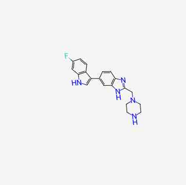 Fc1ccc2c(-c3ccc4nc(CN5CCNCC5)[nH]c4c3)c[nH]c2c1